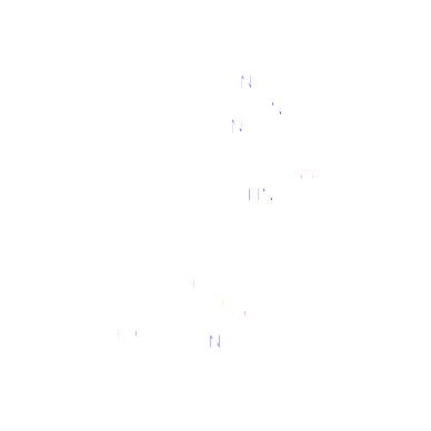 O=C(NCc1ccc(S(=O)(=O)c2cc(C(F)(F)F)ccn2)cc1)c1cnc2nccn2c1